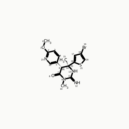 COc1ccc([C@H]2C(=O)N(C)C(=N)N[C@]2(C)c2cc(Br)cs2)cn1